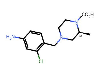 C[C@H]1CN(Cc2ccc(N)cc2Cl)CCN1C(=O)O